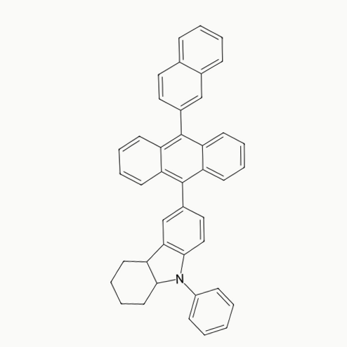 c1ccc(N2c3ccc(-c4c5ccccc5c(-c5ccc6ccccc6c5)c5ccccc45)cc3C3CCCCC32)cc1